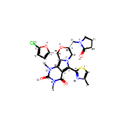 Cc1csc(-c2c3c(=O)n(C)c(=O)n(C)c3c3n2C[C@@H](CN2CCCC2=O)O[C@H]3c2ccc(Cl)o2)n1